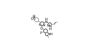 C/C=C/c1cc(Nc2cc(C3CCS(=O)(=O)CC3)nc(Oc3ccc4[nH]c(C)cc4c3F)n2)n[nH]1